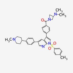 Cc1ccc(S(=O)(=O)n2cc(-c3ccc(C(=O)N4CC(N(C)C)C4)cc3)c3cc(-c4ccc(C5CCN(C)CC5)cc4)cnc32)cc1